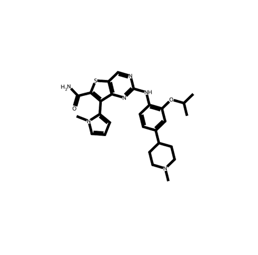 CC(C)Oc1cc(C2CCN(C)CC2)ccc1Nc1ncc2sc(C(N)=O)c(-c3cccn3C)c2n1